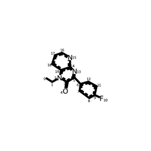 CCn1c(=O)c(-c2ccc(F)cc2)nc2ncccc21